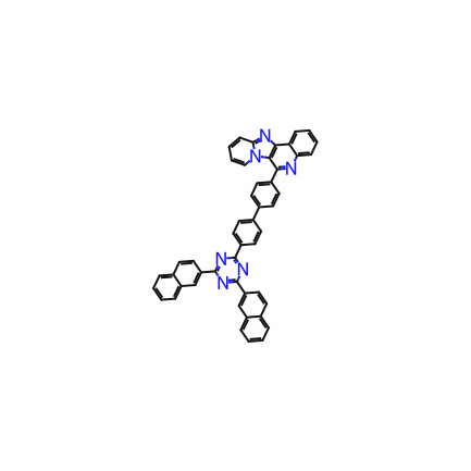 c1ccc2cc(-c3nc(-c4ccc(-c5ccc(-c6nc7ccccc7c7nc8ccccn8c67)cc5)cc4)nc(-c4ccc5ccccc5c4)n3)ccc2c1